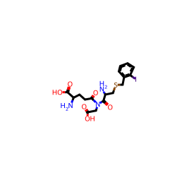 NC(CCC(=O)N(CC(=O)O)C(=O)C(N)CSCc1ccccc1I)C(=O)O